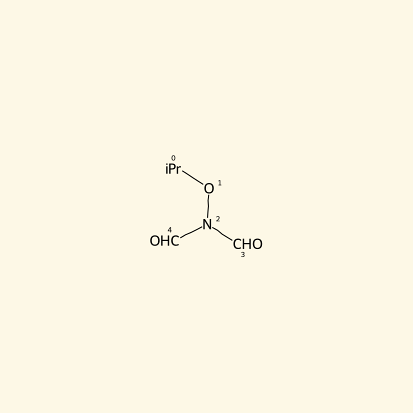 CC(C)ON(C=O)C=O